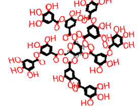 O=C(Cc1cc(C(=O)O[C@H]2[C@H](OC(=O)c3cc(O)c(O)c(OC(=O)c4cc(O)c(O)c(O)c4)c3)[C@@H](OC(=O)c3cc(O)c(O)c(OC(=O)c4cc(O)c(O)c(O)c4)c3)[C@H](OC(=O)c3cc(O)c(O)c(OC(=O)c4cc(O)c(O)c(O)c4)c3)O[C@@H]2COC(=O)c2cc(O)c(O)c(OC(=O)c3cc(O)c(O)c(O)c3)c2)cc(O)c1O)c1cc(O)c(O)c(O)c1